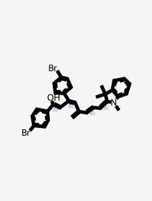 C=C(/C=C/C=C1/N(C)c2ccccc2C1(C)C)/C=C(\C=C(/O)c1ccc(Br)cc1)c1ccc(Br)cc1